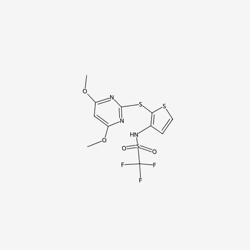 COc1cc(OC)nc(Sc2sccc2NS(=O)(=O)C(F)(F)F)n1